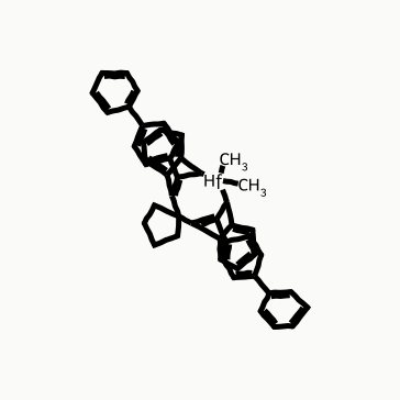 [CH3][Hf]1([CH3])[CH]2C(c3ccc(-c4ccccc4)cc3)=C(c3ccccc32)C2(CCCC2)C2=C(c3ccc(-c4ccccc4)cc3)[CH]1c1ccccc12